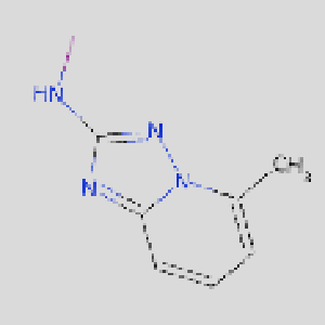 Cc1cccc2nc(NI)nn12